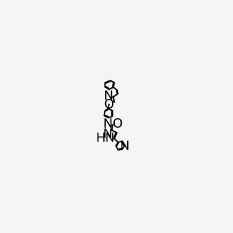 CN(C(=O)c1cc(-c2cccnc2)[nH]n1)c1ccc(OCc2ccc3ccccc3n2)cc1